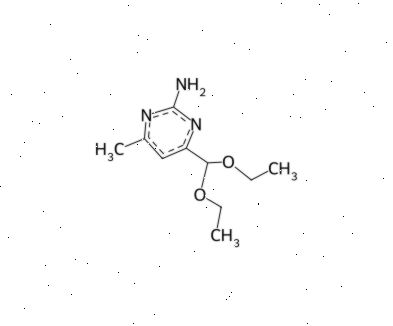 CCOC(OCC)c1cc(C)nc(N)n1